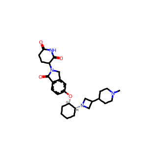 CN1CCC(C2CN([C@@H]3CCCC[C@@H]3Oc3ccc4c(c3)CN(C3CCC(=O)NC3=O)C4=O)C2)CC1